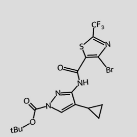 CC(C)(C)OC(=O)n1cc(C2CC2)c(NC(=O)c2sc(C(F)(F)F)nc2Br)n1